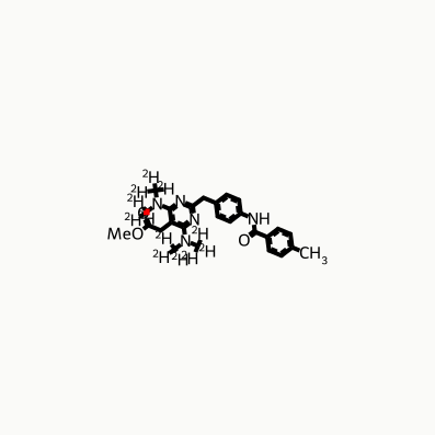 [2H]C([2H])([2H])N(c1nc(Cc2ccc(NC(=O)c3ccc(C)cc3)cc2)nc(N(C([2H])([2H])[2H])C([2H])([2H])[2H])c1CC(=O)OC)C([2H])([2H])[2H]